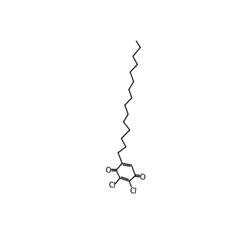 CCCCCCCCCCCCCCCC1=CC(=O)C(Cl)=C(Cl)C1=O